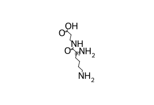 NCCCC[C@@H](N)C(=O)NCCC(=O)O